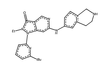 CCn1c(=O)c2cnc(Nc3ccc4c(c3)CCNC4)cc2n1-c1cccc(C(C)(C)C)n1